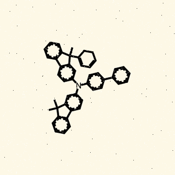 CC1(C)c2ccccc2-c2ccc(N(c3ccc(-c4ccccc4)cc3)c3ccc4c(c3)C(C)(C3=CC=CCC3)c3ccccc3-4)cc21